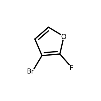 Fc1occc1Br